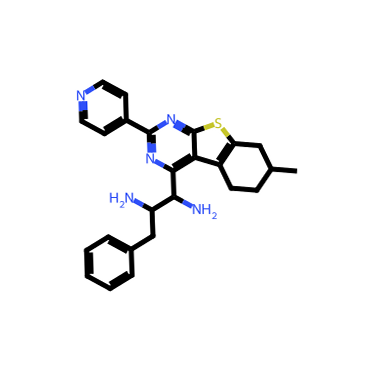 CC1CCc2c(sc3nc(-c4ccncc4)nc(C(N)C(N)Cc4ccccc4)c23)C1